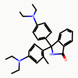 CCN(CC)c1ccc(C2(c3ccc(N(CC)CC)cc3C)NC(=O)c3ccccc32)cc1